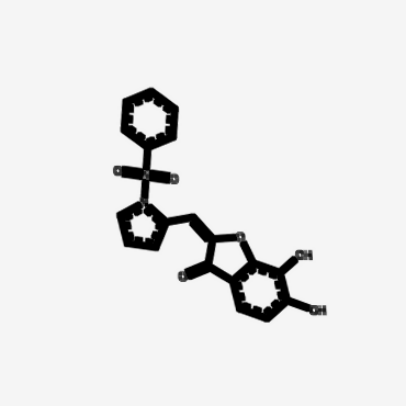 O=C1/C(=C\c2cccn2S(=O)(=O)c2ccccc2)Oc2c1ccc(O)c2O